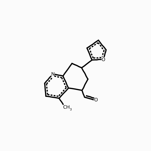 Cc1ccnc2c1C(C=O)CC(c1ccco1)C2